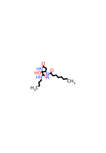 CCCCCCCC(=O)N[C@@H]1CC(=O)NC1(O)C(=O)NCCCC